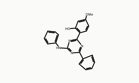 COc1ccc(-c2nc(Nc3ccccc3)nc(-c3ccccc3)n2)c(O)c1